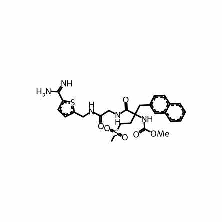 COC(=O)NC(CCS(C)(=O)=O)(Cc1ccc2ccccc2c1)C(=O)NCC(=O)NCc1ccc(C(=N)N)s1